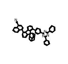 N#Cc1ccc(-c2cccc3c2-c2cccc(-c4ccc(-c5nc(-c6ccccc6)nc(-c6ccccc6)n5)cc4)c2C32C3CC4CC(C3)CC2C4)c2ccccc12